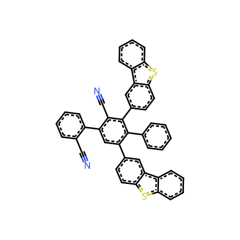 N#Cc1ccccc1-c1cc(-c2ccc3sc4ccccc4c3c2)c(-c2ccccc2)c(-c2ccc3sc4ccccc4c3c2)c1C#N